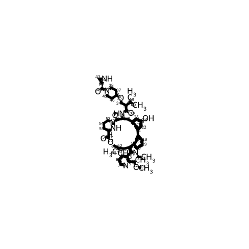 CCn1c(-c2cccnc2[C@H](C)OC)c2c3cc(ccc31)-c1cc(O)cc(c1)C[C@H](NC(=O)C(COC1CCN(C(=O)[C@H]3CN3)CC1)C(C)C)C(=O)N1CCC[C@H](N1)C(=O)OCC(C)(C)C2